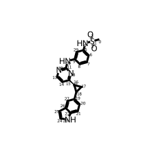 CS(=O)(=O)Nc1cccc(Nc2nccc([C@H]3CC3c3ccc4[nH]ccc4c3)n2)c1